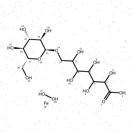 O=C(O)C(O)C(O)C(O)C(O)C(O)CO[C@H]1O[C@H](CO)[C@@H](O)[C@H](O)[C@H]1O.OO.[Fe]